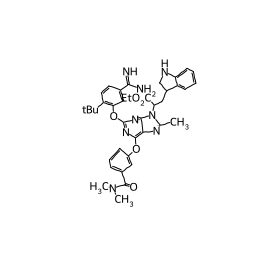 CCOC(=O)C(CC1CNc2ccccc21)n1c(C)nc2c(Oc3cccc(C(=O)N(C)C)c3)nc(Oc3cc(C(=N)N)ccc3C(C)(C)C)nc21